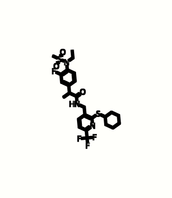 CCN(c1ccc(C(C)C(=O)NCc2ccc(C(F)(F)F)nc2SC2CCCCC2)cc1F)S(C)(=O)=O